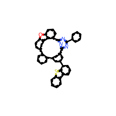 c1ccc(-c2nc3nc(n2)c2cccc4oc5ccc(cc5c42)c2ccccc2c2cc(-c4cccc5c4sc4ccccc45)cc3c2)cc1